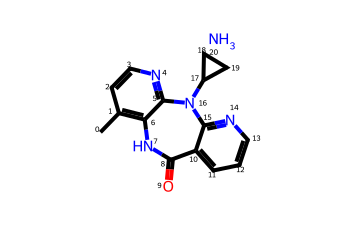 Cc1ccnc2c1NC(=O)c1cccnc1N2C1CC1.N